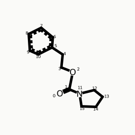 O=C(OCCc1ccccc1)N1CCCC1